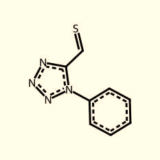 S=Cc1nnnn1-c1ccccc1